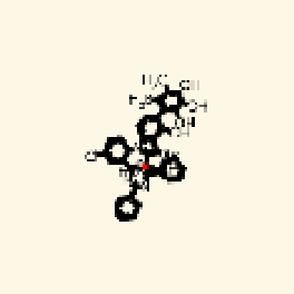 Bc1c(C)c(O)c(O)c(O)c1-c1ccc2c(c1O)c(C(C)=O)c(/C(O)=C\C)n2-c1ccc(Cl)cc1-c1nc(-c2ccccc2)nc(-c2ccccc2)n1